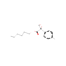 CCCCCCOC(=O)C1(c2ccc(C)cc2)CO1